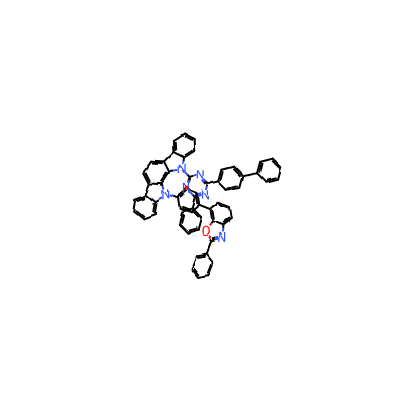 c1ccc(-c2ccc(-c3nc(-c4ccccc4)nc(-n4c5ccccc5c5ccc6c7ccccc7n(-c7ccc(-c8cccc9nc(-c%10ccccc%10)oc89)cc7)c6c54)n3)cc2)cc1